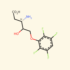 N[C@@H](CC(=O)O)C(O)COc1c(F)c(F)cc(F)c1F